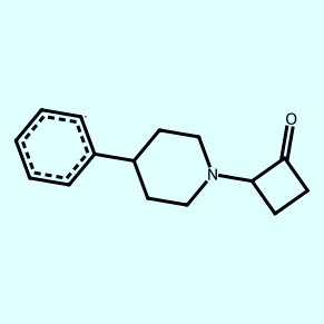 O=C1CCC1N1CCC(c2[c]cccc2)CC1